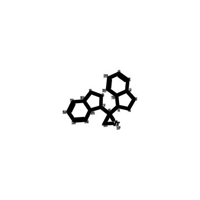 C1=CC2CCC([C]3(C4CCC5C=CC=CC54)[CH2][Zr]3)C2C=C1